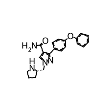 NC(=O)c1cn(C[C@@H]2CCCN2)nc1-c1ccc(Oc2ccccc2)cc1